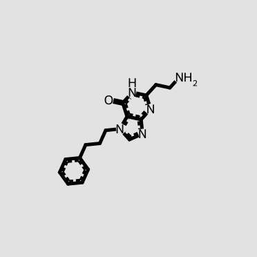 NCCc1nc2ncn(CCCc3ccccc3)c2c(=O)[nH]1